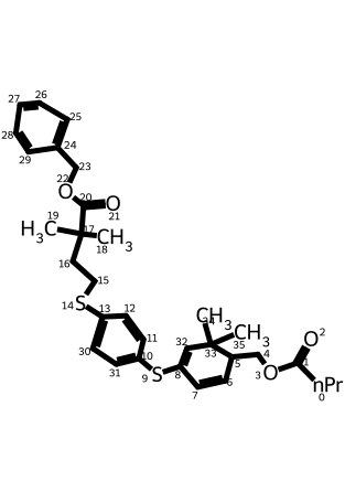 CCCC(=O)OCC1C=CC(Sc2ccc(SCCC(C)(C)C(=O)OCc3ccccc3)cc2)=CC1(C)C